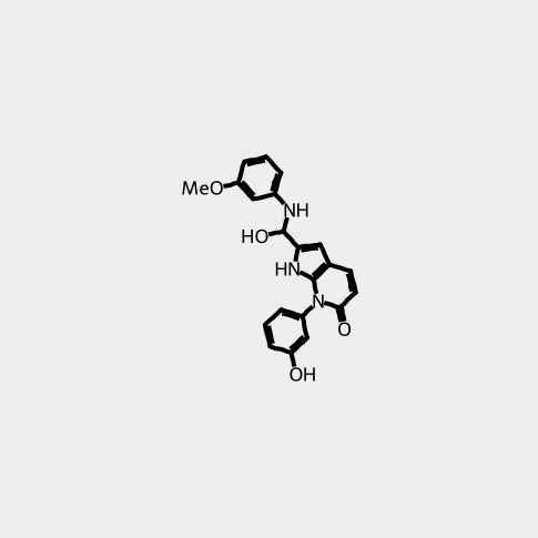 COc1cccc(NC(O)c2cc3ccc(=O)n(-c4cccc(O)c4)c3[nH]2)c1